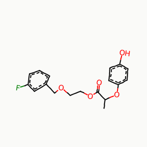 CC(Oc1ccc(O)cc1)C(=O)OCCOCc1cccc(F)c1